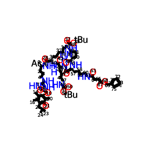 CC(=O)[C@H](CCCNC(=N)NS(=O)(=O)c1c(C)c(C)c2c(c1C)OC(C)(C)C2)NC(=O)[C@H](CCCCCNC(=O)OC(C)(C)C)NC(=O)[C@H](CCCCNC(=O)OC(C)(C)C)NC(=O)[C@H](CCCCNC(=O)CCC(=O)OCc1ccccc1)NC(=O)[C@H]1CCCN1